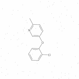 Cc1ccc(Oc2ccccc2Cl)cn1